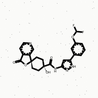 O=C1O[C@]2(CC[C@](O)(C(=O)Nc3cc(-c4cccc(OC(F)F)c4)[nH]n3)CC2)c2cnccc21